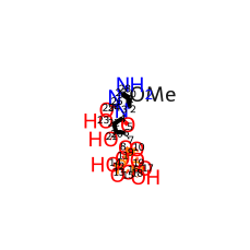 COc1cn([C@@H]2O[C@H](COP3(=O)OP(=O)(O)OP(=O)(O)O3)[C@H](O)[C@@H]2O)c(=O)nc1N